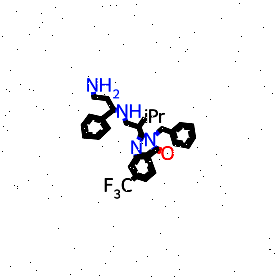 CC(C)C(CNC(CCN)c1ccccc1)c1nc2cc(C(F)(F)F)ccc2c(=O)n1Cc1ccccc1